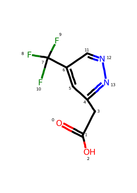 O=C(O)Cc1cc(C(F)(F)F)cnn1